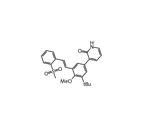 COc1c(/C=C/c2ccccc2S(C)(=O)=O)cc(-c2ccc[nH]c2=O)cc1C(C)(C)C